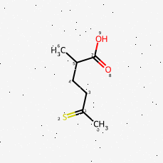 CC(=S)CCC(C)C(=O)O